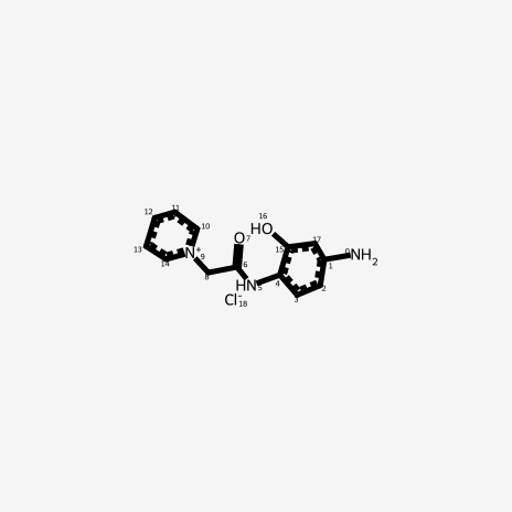 Nc1ccc(NC(=O)C[n+]2ccccc2)c(O)c1.[Cl-]